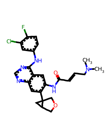 CN(C)C/C=C/C(=O)Nc1cc2c(Nc3ccc(F)c(Cl)c3)ncnc2cc1C12COCC1C2